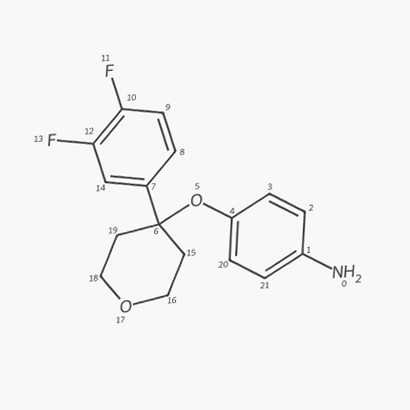 Nc1ccc(OC2(c3ccc(F)c(F)c3)CCOCC2)cc1